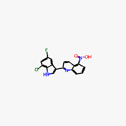 O=[N+](O)c1cccc2nc(-c3c[nH]c4c(Cl)cc(F)cc34)ccc12